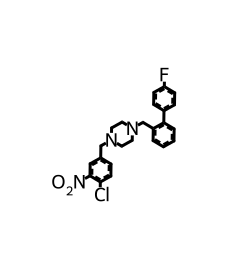 O=[N+]([O-])c1cc(CN2CCN(Cc3ccccc3-c3ccc(F)cc3)CC2)ccc1Cl